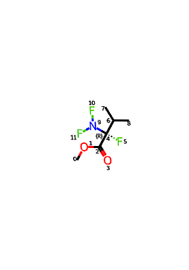 COC(=O)[C@](F)(C(C)C)N(F)F